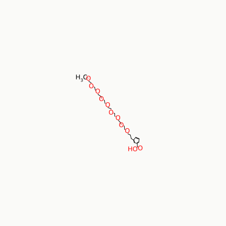 COCCOCCOCCOCCOCCOCCOCCOCCOCCCc1cccc(C(=O)O)c1